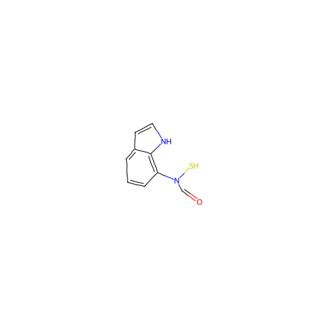 O=CN(S)c1cccc2cc[nH]c12